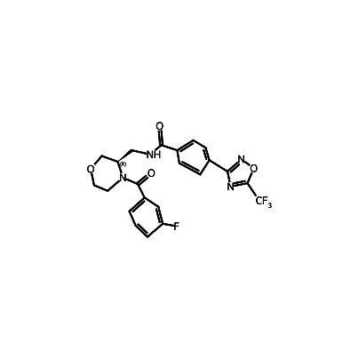 O=C(NC[C@@H]1COCCN1C(=O)c1cccc(F)c1)c1ccc(-c2noc(C(F)(F)F)n2)cc1